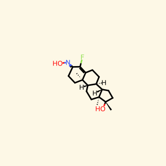 C[C@]12CC/C(=N\O)C(F)=C1CC[C@@H]1[C@@H]2CC[C@@]2(C)[C@H]1CC[C@]2(C)O